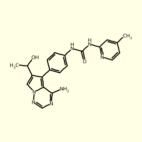 Cc1ccnc(NC(=O)Nc2ccc(-c3c(C(C)O)cn4ncnc(N)c34)cc2)c1